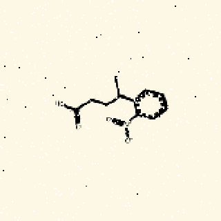 CC(CCC(=O)O)c1ccccc1[N+](=O)[O-]